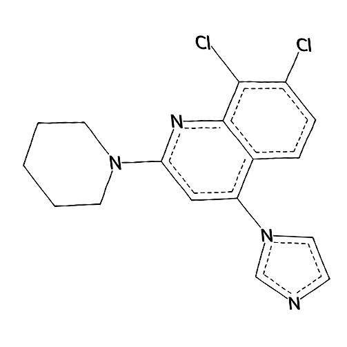 Clc1ccc2c(-n3ccnc3)cc(N3CCCCC3)nc2c1Cl